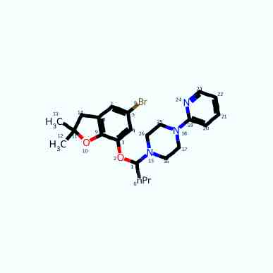 CCCC(Oc1cc(Br)cc2c1OC(C)(C)C2)N1CCN(c2ccccn2)CC1